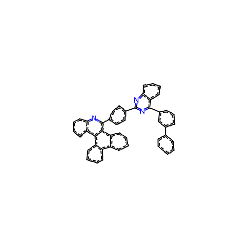 c1ccc(-c2cccc(-c3nc(-c4ccc(-c5nc6ccccc6c6c7ccccc7c7ccccc7c56)cc4)nc4ccccc34)c2)cc1